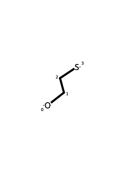 [O]CC[S]